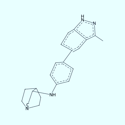 Cc1n[nH]c2ccc(-c3ccc(NC4CN5CCC4CC5)cc3)cc12